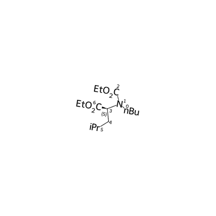 CCCCN(C(=O)OCC)[C@@H](CC(C)C)C(=O)OCC